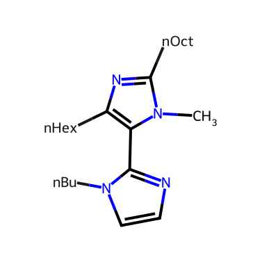 CCCCCCCCc1nc(CCCCCC)c(-c2nccn2CCCC)n1C